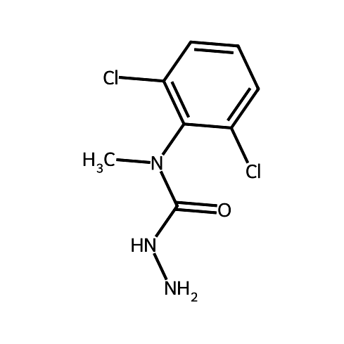 CN(C(=O)NN)c1c(Cl)cccc1Cl